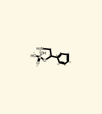 NCC(OP(=O)(O)O)c1ccccc1